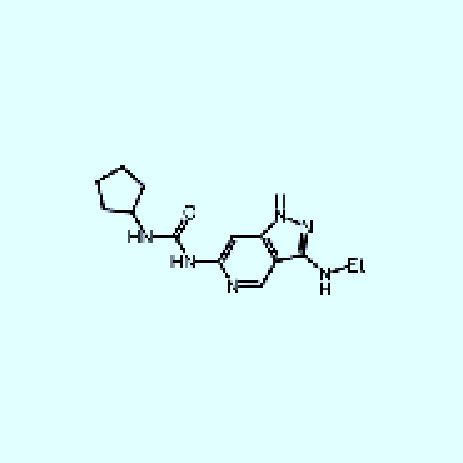 CCNc1n[nH]c2cc(NC(=O)NC3CCCC3)ncc12